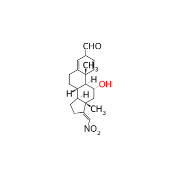 C[C@]12C=CC(C=O)C=C1CC[C@@H]1[C@@H]2[C@H](O)C[C@]2(C)C(=C[N+](=O)[O-])CC[C@@H]12